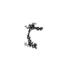 CC(C)(C)C(NC(=O)COCCCCOc1ccc(-c2ccc(N3C(=S)N(c4cnc(C#N)c(C(F)(F)F)c4)C(=O)C3(C)C)cc2)cc1)C(=O)N1C[C@H](O)C[C@H]1C(=O)NCc1ccc(-c2cnco2)cc1